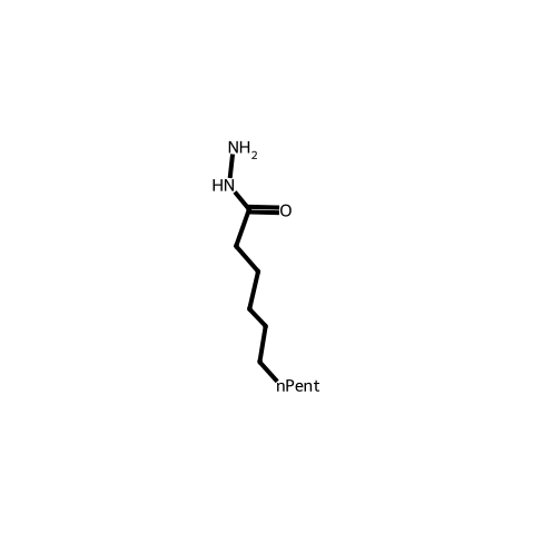 CCCCCCCCCCC(=O)NN